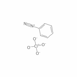 N#[N+]c1ccccc1.[O-][Cl+3]([O-])([O-])[O-]